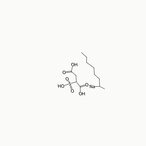 CCCCCC[CH](C)[Na].O=C(O)CC(C(=O)O)S(=O)(=O)O